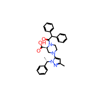 Cc1cc(N2CCN(C(=O)C(c3ccccc3)c3ccccc3)[C@H](C(=O)O)C2)n([C@@H](C)c2ccccc2)n1